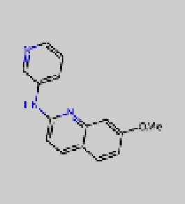 COc1ccc2ccc(Nc3cccnc3)nc2c1